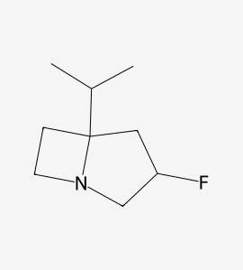 CC(C)C12CCN1CC(F)C2